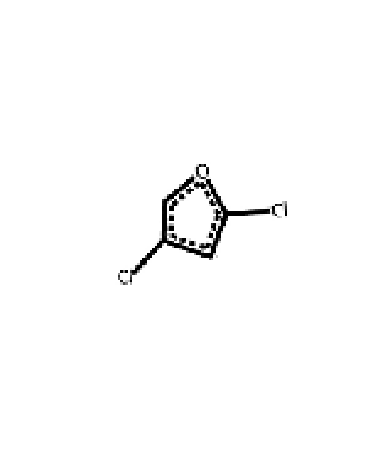 Clc1[c]c(Cl)oc1